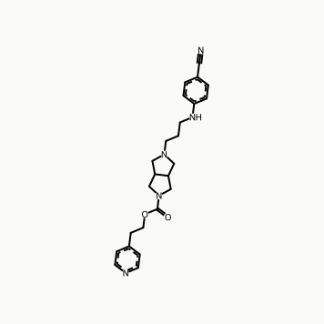 N#Cc1ccc(NCCCN2CC3CN(C(=O)OCCc4ccncc4)CC3C2)cc1